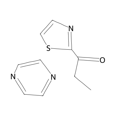 CCC(=O)c1nccs1.c1cnccn1